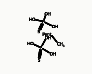 CCCC(C)C.OP(O)(O)=S.OP(O)(O)=S